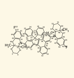 CC12CCCCC1(C)N(c1ccc3c(c1)C(c1ccccc1)(c1ccccc1)c1c-3c3ccccc3c3cc(N4c5ccc(F)cc5CC5(C)CCCCC45C)ccc13)c1ccc(F)cc1C2